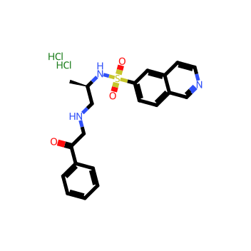 C[C@H](CNCC(=O)c1ccccc1)NS(=O)(=O)c1ccc2cnccc2c1.Cl.Cl